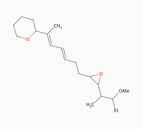 CCC(OC)C(C)C1OC1CC/C=C/C=C(\C)C1CCCCO1